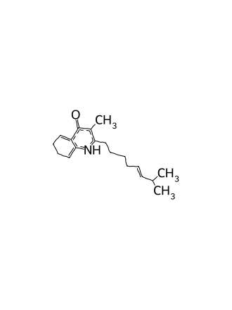 Cc1c(CCCC/C=C/C(C)C)[nH]c2c(c1=O)=CCCC=2